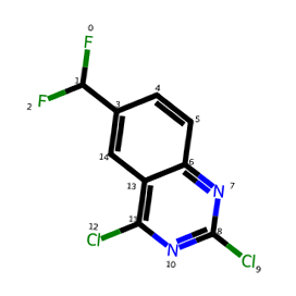 FC(F)c1ccc2nc(Cl)nc(Cl)c2c1